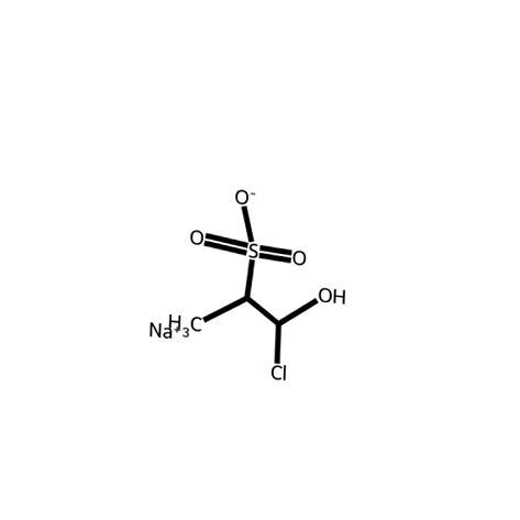 CC(C(O)Cl)S(=O)(=O)[O-].[Na+]